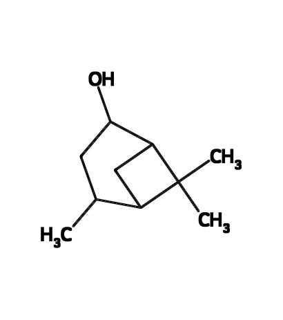 CC1CC(O)C2CC1C2(C)C